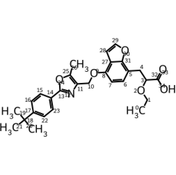 CCOC(Cc1ccc(OCc2nc(-c3ccc(C(C)(C)C)cc3)oc2C)c2ccoc12)C(=O)O